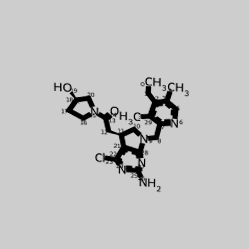 CCc1c(C)cnc(CN2C[C@H](CC(=O)N3CC[C@@H](O)C3)c3c(Cl)nc(N)nc32)c1C